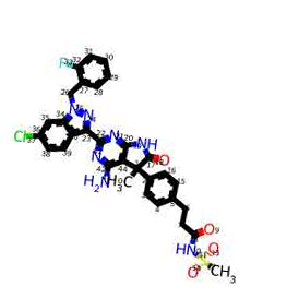 CC1(c2ccc(CCC(=O)NS(C)(=O)=O)cc2)C(=O)Nc2nc(-c3nn(Cc4ccccc4F)c4cc(Cl)ccc34)nc(N)c21